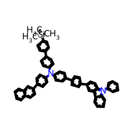 C[Si](C)(C)c1ccc(-c2ccc(N(c3ccc(-c4ccc(-c5ccc6c(c5)c5ccccc5n6-c5ccccc5)cc4)cc3)c3ccc(-c4ccc5ccccc5c4)cc3)cc2)cc1